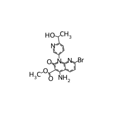 COC(=O)c1c(N)c2ccc(Br)nc2n(-c2ccc(C(C)O)nc2)c1=O